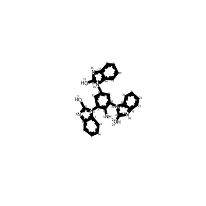 Nc1c(-n2c(O)nc3ccccc32)cc(-n2c(O)nc3ccccc32)cc1-n1c(O)nc2ccccc21